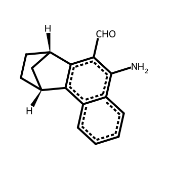 Nc1c(C=O)c2c(c3ccccc13)[C@@H]1CC[C@H]2C1